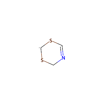 [CH]1SC=NCS1